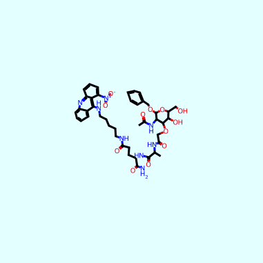 CC(=O)NC1C(OCc2ccccc2)OC(CO)C(O)C1OCC(=O)NC(C)C(=O)NC(CCC(=O)NCCCCCNc1c2ccccc2nc2cccc([N+](=O)[O-])c12)C(N)=O